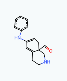 O=CC12CC=C(Nc3ccccc3)C=C1CCNC2